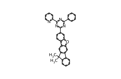 CC1(C)c2ccccc2-c2cc3oc4cc(-c5nc(-c6ccccc6)nc(-c6ccccn6)n5)ccc4c3cc21